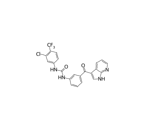 O=C(Nc1cccc(C(=O)c2c[nH]c3ncccc23)c1)Nc1ccc(C(F)(F)F)c(Cl)c1